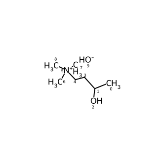 CC(O)CC[N+](C)(C)C.[OH-]